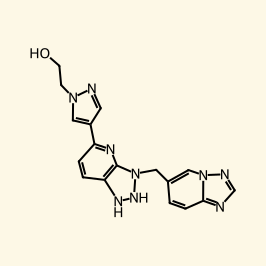 OCCn1cc(-c2ccc3c(n2)N(Cc2ccc4ncnn4c2)NN3)cn1